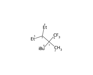 CCC(C)C(C)(C(CC)CC)C(F)(F)F